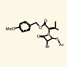 COc1ccc(COC(=O)C(=C(C)C)N2C(=O)C(Br)C2SC(C)=O)cc1